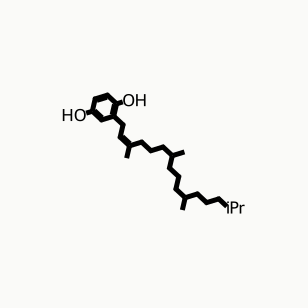 CC(=CCc1cc(O)ccc1O)CCCC(C)CCCC(C)CCCC(C)C